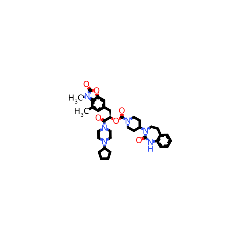 Cc1cc(C[C@@H](OC(=O)N2CCC(N3CCc4ccccc4NC3=O)CC2)C(=O)N2CCN(C3CCCC3)CC2)cc2oc(=O)n(C)c12